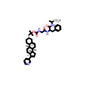 CC(NC(=O)C(Cc1ccccc1)NC(=O)CNC(=O)OC(C)(C)C[C@H]1CC[C@@]2(C)C(=CC[C@@H]3[C@@H]2CC[C@]2(C)C(c4cccnc4)=CC[C@@H]32)C1)C(=O)O